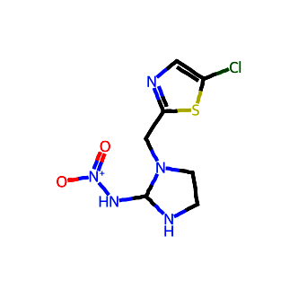 O=[N+]([O-])NC1NCCN1Cc1ncc(Cl)s1